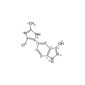 Cc1nc(Cl)c(-c2ccc3[nH]nc(O)c3c2)[nH]1